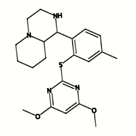 COc1cc(OC)nc(Sc2cc(C)ccc2C2NCCN3CCCCC23)n1